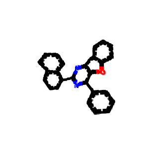 c1ccc(-c2nc(-c3cccc4ccccc34)nc3c2oc2ccccc23)cc1